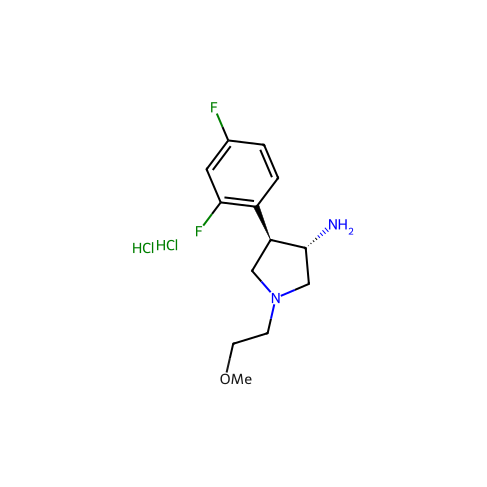 COCCN1C[C@@H](N)[C@H](c2ccc(F)cc2F)C1.Cl.Cl